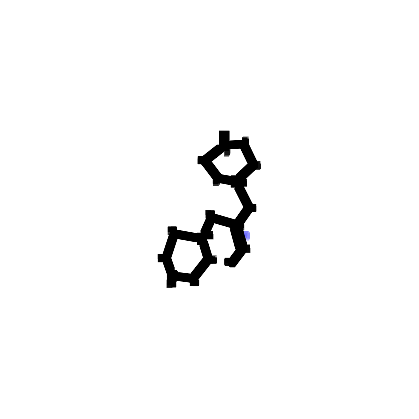 C/C=C(/CN1CCNCC1)CN1CCOCC1